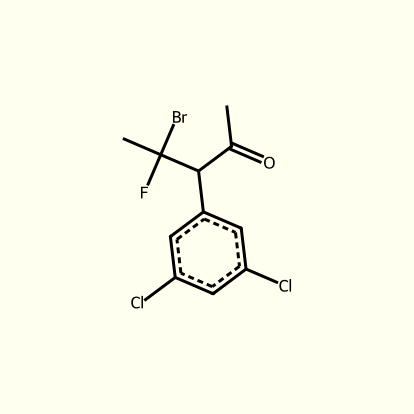 CC(=O)C(c1cc(Cl)cc(Cl)c1)C(C)(F)Br